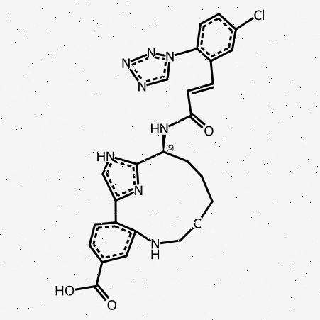 O=C(C=Cc1cc(Cl)ccc1-n1cnnn1)N[C@H]1CCCCCNc2cc(C(=O)O)ccc2-c2c[nH]c1n2